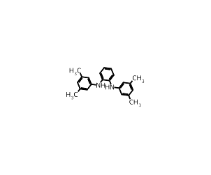 Cc1cc(C)cc(Nc2ccccc2Nc2cc(C)cc(C)c2)c1